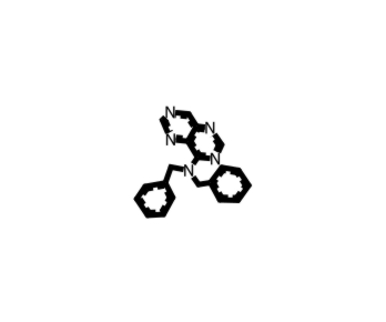 c1ccc(CN(Cc2ccccc2)c2ncnc3cncnc23)cc1